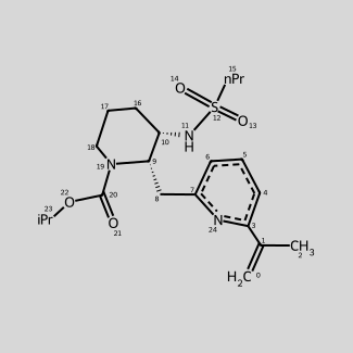 C=C(C)c1cccc(C[C@H]2[C@@H](NS(=O)(=O)CCC)CCCN2C(=O)OC(C)C)n1